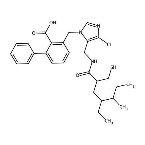 CCC(C)C(CC)CC(CS)C(=O)NCc1c(Cl)ncn1Cc1cccc(-c2ccccc2)c1C(=O)O